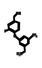 NCc1cc(Oc2ccc(CO)cc2F)cc(C(F)(F)F)c1